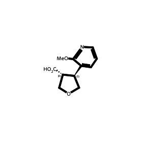 COc1ncccc1[C@H]1COC[C@@H]1C(=O)O